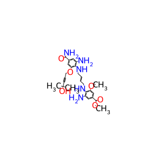 COC(=O)c1cc(N)c(NC/C=C/CNc2c(N)cc(C(N)=O)cc2OCC#CC(C)(C)O)c(OC)c1